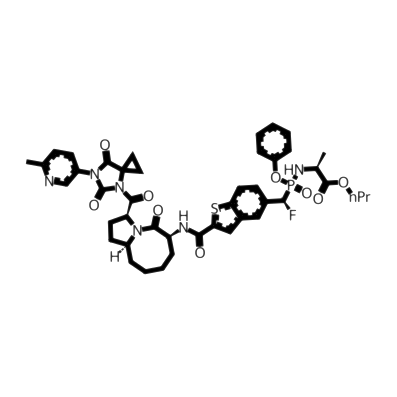 CCCOC(=O)[C@H](C)NP(=O)(Oc1ccccc1)[C@@H](F)c1ccc2sc(C(=O)N[C@H]3CCCC[C@H]4CC[C@@H](C(=O)N5C(=O)N(c6ccc(C)nc6)C(=O)C56CC6)N4C3=O)cc2c1